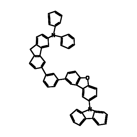 c1ccc(N(c2ccccc2)c2ccc3c(c2)-c2cc(-c4cccc(-c5ccc6oc7ccc(-n8c9ccccc9c9ccccc98)cc7c6c5)c4)ccc2C3)cc1